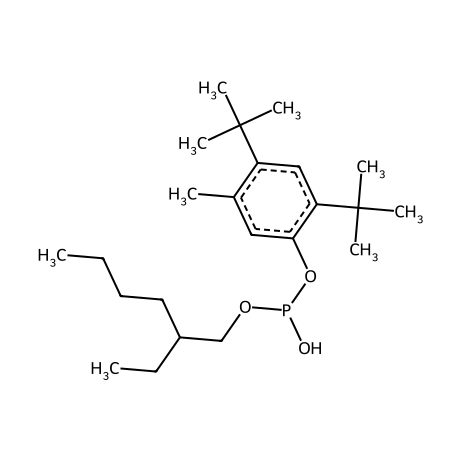 CCCCC(CC)COP(O)Oc1cc(C)c(C(C)(C)C)cc1C(C)(C)C